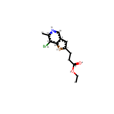 CCOC(=O)CCc1cc2cnc(C)c(Br)c2s1